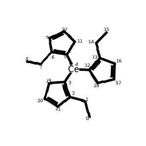 CCC1=[C]([Ce]([C]2=C(CC)C=CC2)[C]2=C(CC)C=CC2)CC=C1